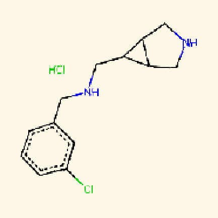 Cl.Clc1cccc(CNCC2C3CNCC23)c1